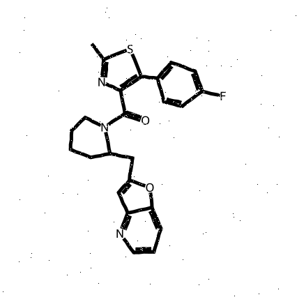 Cc1nc(C(=O)N2CCCCC2Cc2cc3ncccc3o2)c(-c2ccc(F)cc2)s1